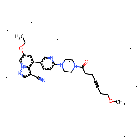 CCOc1cc(-c2ccc(N3CCN(C(=O)CCC#CCCOC)CC3)nc2)c2c(C#N)cnn2c1